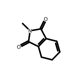 CN1C(=O)C2=C(CCC=C2)C1=O